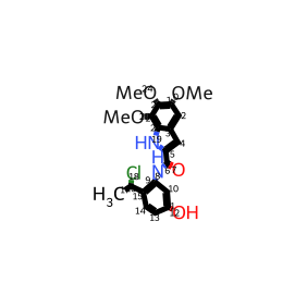 COc1cc2cc(C(=O)Nc3cc(O)ccc3C(C)Cl)[nH]c2c(OC)c1OC